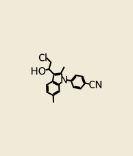 Cc1ccc2c(C(O)CCl)c(C)n(-c3ccc(C#N)cc3)c2c1